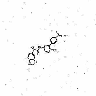 COC(=O)c1ccc(-c2cc(NC(=O)C3(c4ccc5c(c4)OCO5)CC3)ccc2C)cc1